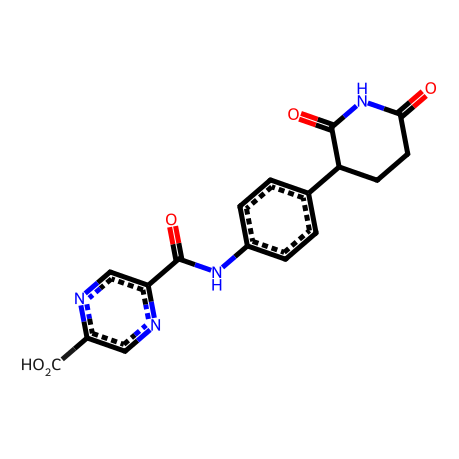 O=C1CCC(c2ccc(NC(=O)c3cnc(C(=O)O)cn3)cc2)C(=O)N1